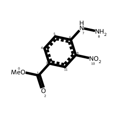 COC(=O)c1ccc(NN)c([N+](=O)[O-])c1